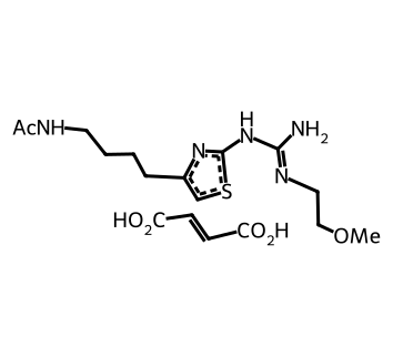 COCCN=C(N)Nc1nc(CCCCNC(C)=O)cs1.O=C(O)C=CC(=O)O